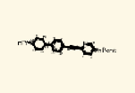 CCCCCc1ccc(C#Cc2ccc(C3CCC(CCC)CC3)cc2)nc1